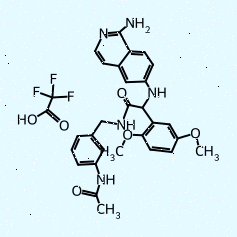 COc1ccc(OC)c(C(Nc2ccc3c(N)nccc3c2)C(=O)NCc2cccc(NC(C)=O)c2)c1.O=C(O)C(F)(F)F